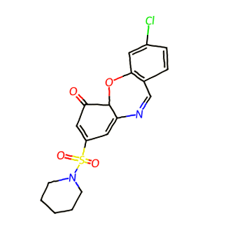 O=C1C=C(S(=O)(=O)N2CCCCC2)C=C2N=Cc3ccc(Cl)cc3OC12